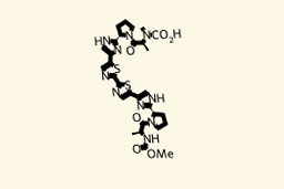 COC(=O)N[C@@H](C)C(=O)N1CCC[C@H]1c1nc(-c2cnc(-c3ncc(-c4c[nH]c([C@@H]5CCCN5C(=O)[C@H](C)N(C)C(=O)O)n4)s3)s2)c[nH]1